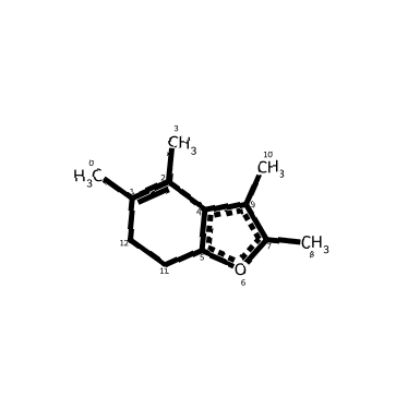 CC1=C(C)c2c(oc(C)c2C)CC1